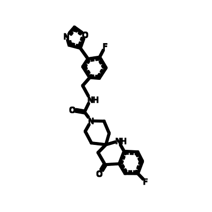 O=C1CC2(CCN(C(=O)NCc3ccc(F)c(-c4cnco4)c3)CC2)Nc2ccc(F)cc21